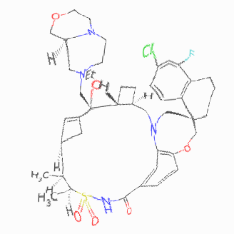 CCO[C@@]1(CN2CCN3CCOC[C@@H]3C2)C2=C[C@@H](C2)[C@H](C)[C@H](C)S(=O)(=O)NC(=O)c2ccc3c(c2)N(C[C@@H]2CC[C@H]21)C[C@@]1(CCCc2c1ccc(Cl)c2F)CO3